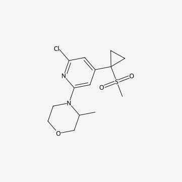 CC1COCCN1c1cc(C2(S(C)(=O)=O)CC2)cc(Cl)n1